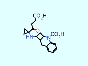 O=C(O)CCC(=O)C1(NC2CC3C2Cc2ccccc2N3C(=O)O)CC1